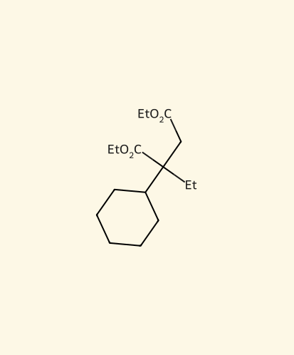 CCOC(=O)CC(CC)(C(=O)OCC)C1CCCCC1